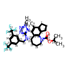 Cc1cc2c(c3c1CCC3)N(C(=O)OC(C)C)CCC[C@@H]2N(Cc1cc(C(F)(F)F)cc(C(F)(F)F)c1)c1nnn(C)n1